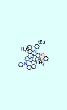 Cc1cc2c3c(c1)N(c1ccc(C(C)(C)C)cc1-c1ccccc1)c1cc4c(cc1B3n1c3c(c5c(N(c6ccccc6)c6ccccc6)ccc-2c51)-c1ccccc1C3(C)C)Oc1ccccc1O4